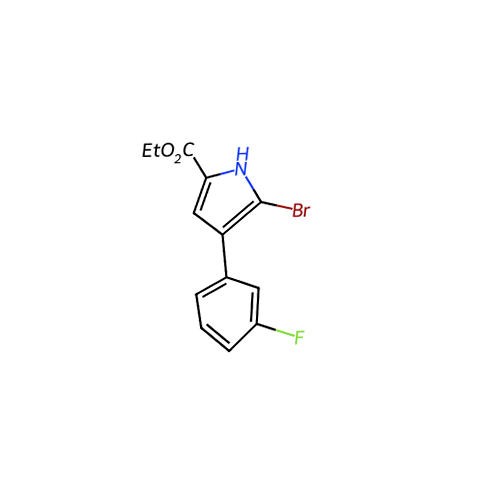 CCOC(=O)c1cc(-c2cccc(F)c2)c(Br)[nH]1